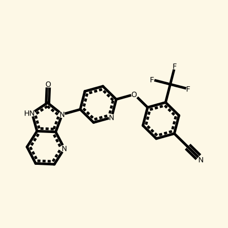 N#Cc1ccc(Oc2ccc(-n3c(=O)[nH]c4cccnc43)cn2)c(C(F)(F)F)c1